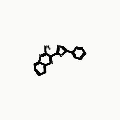 Nc1nc2ccccc2nc1-c1ncc(-c2ccccc2)o1